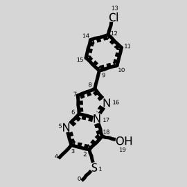 CSc1c(C)nc2cc(-c3ccc(Cl)cc3)nn2c1O